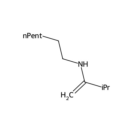 C=C(NCCCCCCC)C(C)C